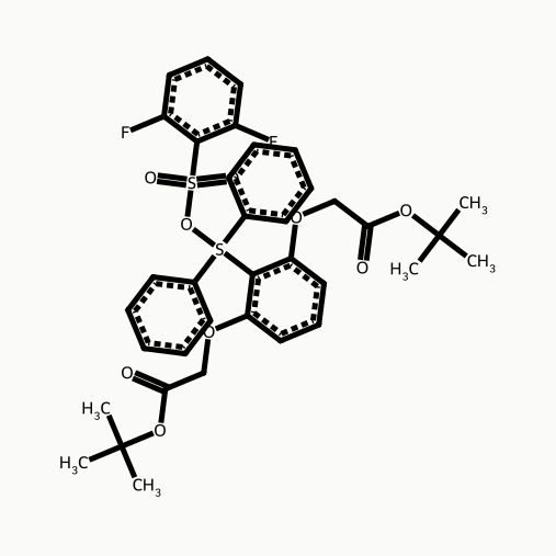 CC(C)(C)OC(=O)COc1cccc(OCC(=O)OC(C)(C)C)c1S(OS(=O)(=O)c1c(F)cccc1F)(c1ccccc1)c1ccccc1